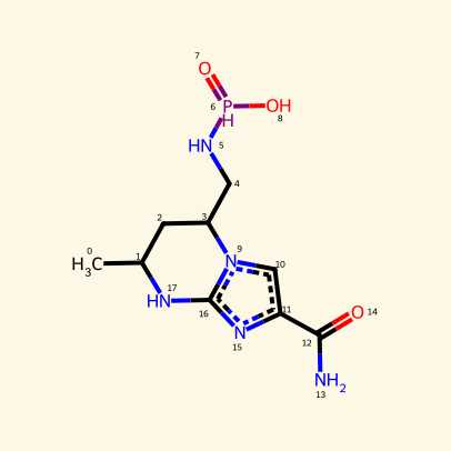 CC1CC(CN[PH](=O)O)n2cc(C(N)=O)nc2N1